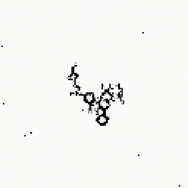 C[C@@H]1Cc2c([nH]c3ccccc23)[C@@H](c2ccc(NCCN3CC(CF)C3)cc2F)N1CC(C)(F)CO